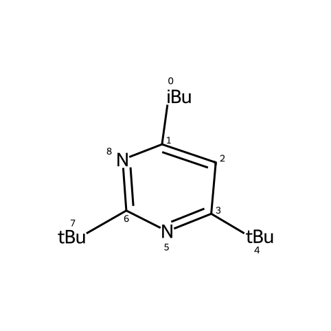 CCC(C)c1cc(C(C)(C)C)nc(C(C)(C)C)n1